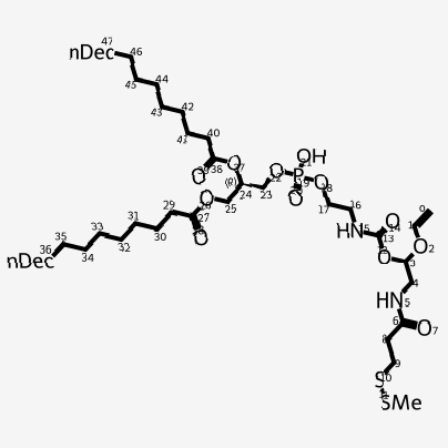 C=COC(CNC(=O)CCSSC)OC(=O)NCCOP(=O)(O)OC[C@@H](COC(=O)CCCCCCCCCCCCCCCCC)OC(=O)CCCCCCCCCCCCCCCCC